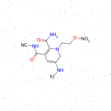 CCNC1=CC(C(=O)NC#N)=C(C(N)=O)N(CCO[N+](=O)[O-])C1